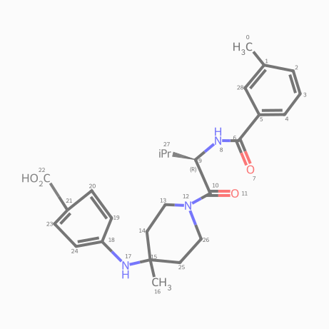 Cc1cccc(C(=O)N[C@@H](C(=O)N2CCC(C)(Nc3ccc(C(=O)O)cc3)CC2)C(C)C)c1